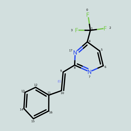 FC(F)(F)c1ccnc(/C=C/c2c[c]ccc2)n1